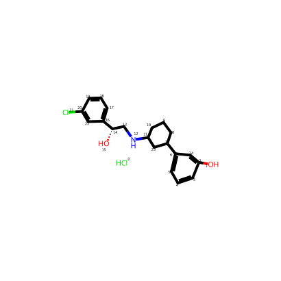 Cl.Oc1cccc(C2CCCC(NC[C@H](O)c3cccc(Cl)c3)C2)c1